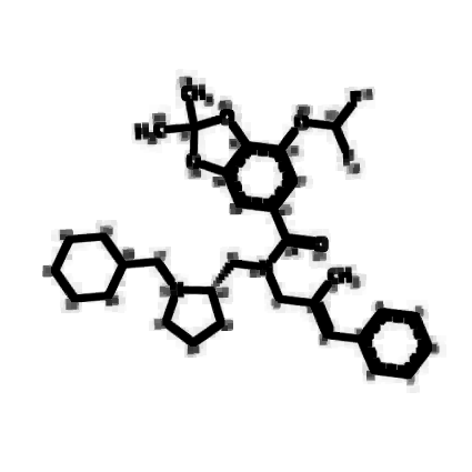 C/C(=C\c1ccccc1)CN(C[C@@H]1CCCN1CC1CCCCC1)C(=O)c1cc(OC(F)F)c2c(c1)OC(C)(C)O2